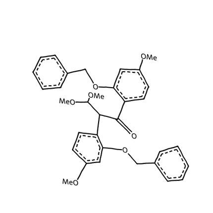 COc1ccc(C(=O)C(c2ccc(OC)cc2OCc2ccccc2)C(OC)OC)c(OCc2ccccc2)c1